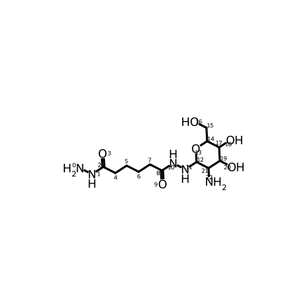 NNC(=O)CCCCC(=O)NNC1OC(CO)C(O)C(O)C1N